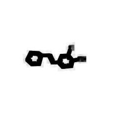 Oc1ccc(/C=C/c2ccccc2)cc1Cl